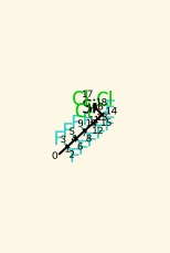 CC(F)(F)C(F)(F)C(F)(F)C(F)(F)C(F)(F)[Si](Cl)(Cl)Cl